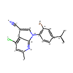 Cc1cc(Cl)c2c(C#N)cn(-c3ccc(C(C)C)cc3Br)c2n1